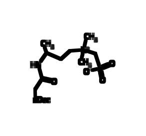 CCCCCCCCCCCC(=O)NC(C)CC[N+](C)(C)CS(=O)(=O)[O-]